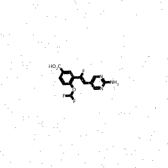 Nc1ncc(/C=C(\F)c2cc(C(=O)O)ccc2OC(F)F)cn1